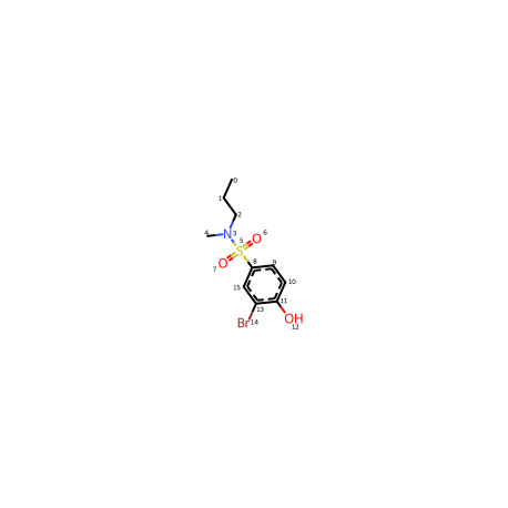 CCCN(C)S(=O)(=O)c1ccc(O)c(Br)c1